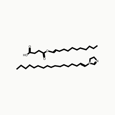 CCCCCCCCCCC=COC(=O)CCC(=O)O.CCCCCCCCCCCCCCCC=CN1C=NCC1